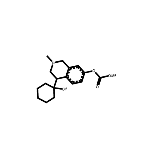 CC(C)COC(=O)Oc1ccc2c(c1)CN(C)CC2C1(O)CCCCC1